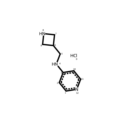 Cl.c1cc(NCC2CNC2)ccn1